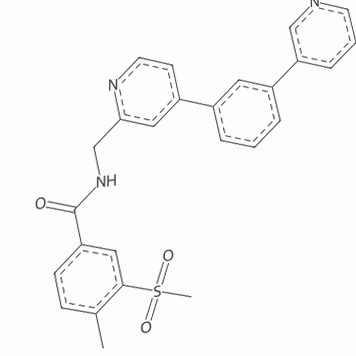 Cc1ccc(C(=O)NCc2cc(-c3cccc(-c4cccnc4)c3)ccn2)cc1S(C)(=O)=O